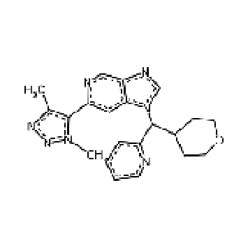 Cc1nnn(C)c1-c1cc2c(cn1)ncn2C(c1ccccn1)C1CCOCC1